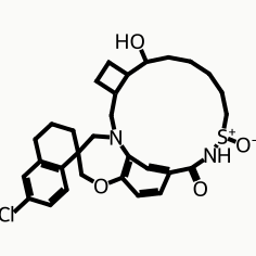 O=C1N[S+]([O-])CCCCCC(O)C2CCC2CN2CC3(CCCc4cc(Cl)ccc43)COc3ccc1cc32